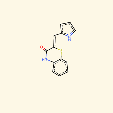 O=C1Nc2ccccc2S/C1=C\c1ccc[nH]1